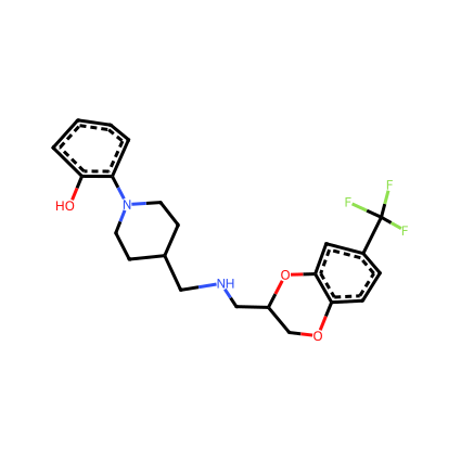 Oc1ccccc1N1CCC(CNCC2COc3ccc(C(F)(F)F)cc3O2)CC1